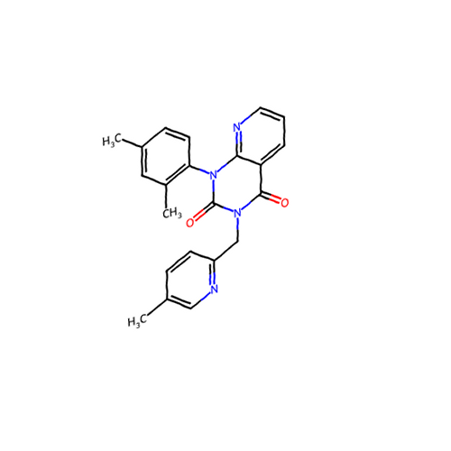 Cc1ccc(Cn2c(=O)c3cccnc3n(-c3ccc(C)cc3C)c2=O)nc1